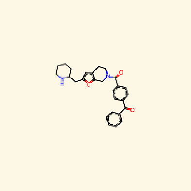 O=C(c1ccccc1)c1ccc(C(=O)N2CCc3cc(CC4CCCCN4)oc3C2)cc1